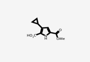 COC(=O)c1cc(C2CC2)c(C(=O)O)[nH]1